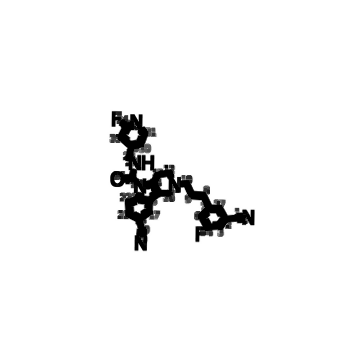 N#Cc1cc(F)cc(C=CCN2CCc3c(c4cc(C#N)ccc4n3C(=O)NCc3ccnc(F)c3)C2)c1